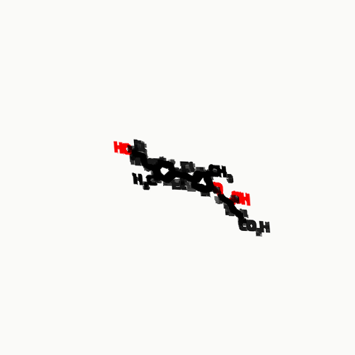 CCCCCCCC(O)(/C=C/c1ccc(C(CC)(CC)c2ccc(OCC(O)CCC(=O)O)c(C)c2)cc1C)CC